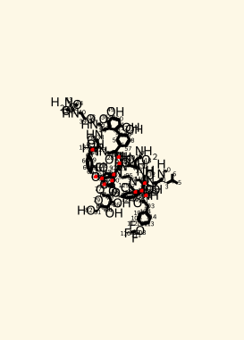 CN[C@H](CC(C)C)C(=O)N[C@H]1C(=O)N[C@@H](CC(N)=O)C(=O)N[C@H]2C(=O)N[C@H]3C(=O)N[C@H](C(=O)N[C@@H](C(=O)NOCCNS(N)(=O)=O)c4cc(O)cc(O)c4-c4cc3ccc4O)[C@H](O)c3ccc(c(Cl)c3)Oc3cc2cc(c3O[C@@H]2O[C@H](CO)[C@@H](O)[C@H](O)[C@H]2O[C@H]2C[C@](C)(NCCN3CCC(NC(=O)Cc4ccc(OC(F)(F)F)cc4)CC3)[C@H](O)[C@H](C)O2)Oc2ccc(cc2Cl)[C@H]1O